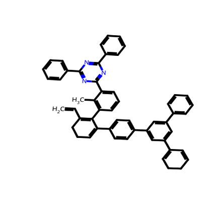 C=CC1=C(c2cccc(-c3nc(-c4ccccc4)nc(-c4ccccc4)n3)c2C)C(c2ccc(-c3cc(C4=CCCC=C4)cc(-c4ccccc4)c3)cc2)=CCC1